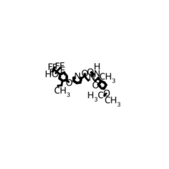 CCCc1cc(C(O)(C(F)(F)F)C(F)(F)F)ccc1Oc1ccc(C(=O)CN2C(=O)NC(C)(c3ccc(OC(C)C)cc3)C2=O)nc1